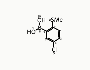 CSc1ccc(Cl)cc1B(O)O